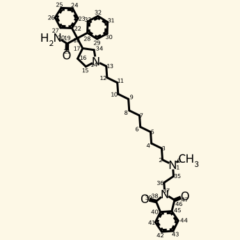 CN(CCCCCCCCCCCCN1CCC(C(C(N)=O)(c2ccccc2)c2ccccc2)C1)CCN1C(=O)c2ccccc2C1=O